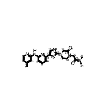 Cc1ccnc(Nc2cccc(-c3cnc(N4CCN(CC(=O)N(C)C)C(=O)C4)s3)n2)c1